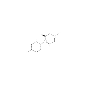 CC1CCC(N2CCN(C)CC2=O)CC1